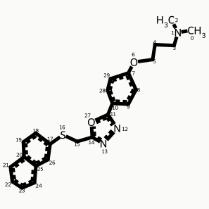 CN(C)CCCOc1ccc(-c2nnc(CSc3ccc4ccccc4c3)o2)cc1